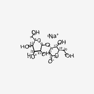 [Na+].[O-][C@H]1C[C@H](OC2OC(CO)C(O)C(O)C2O)[C@@H](O)[C@@H](CO)O1